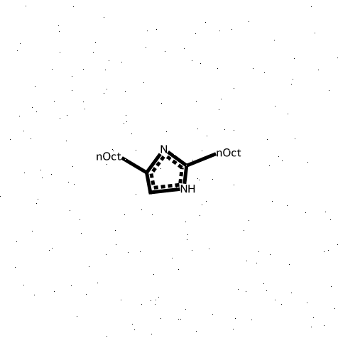 CCCCCCCCc1c[nH]c(CCCCCCCC)n1